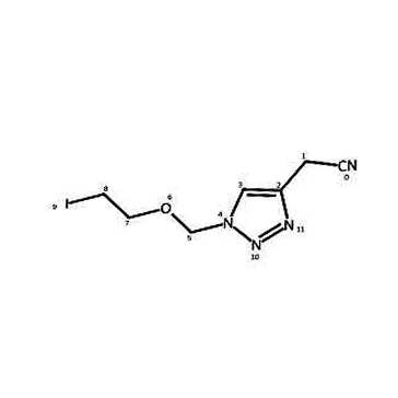 N#CCc1cn(COCCI)nn1